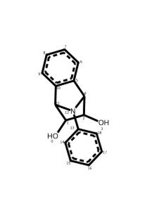 OC1C(O)C2c3ccccc3C1N2c1ccccc1